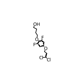 OCCCCOc1c(F)cc(OCC=C(Cl)Cl)cc1F